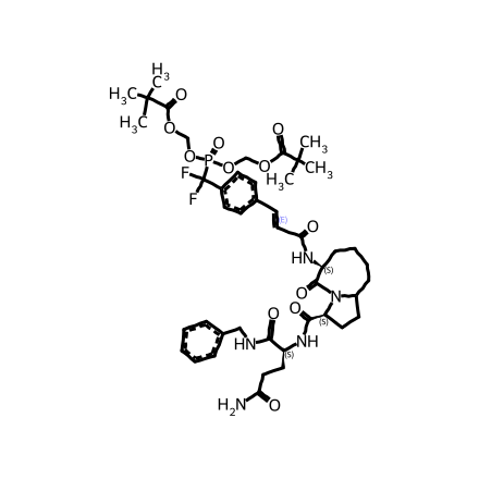 CC(C)(C)C(=O)OCOP(=O)(OCOC(=O)C(C)(C)C)C(F)(F)c1ccc(/C=C/C(=O)N[C@H]2CCCCC3CC[C@@H](C(=O)N[C@@H](CCC(N)=O)C(=O)NCc4ccccc4)N3C2=O)cc1